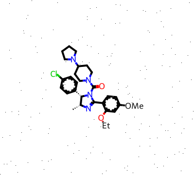 CCOc1cc(OC)ccc1C1=N[C@H](C)[C@H](c2ccc(Cl)cc2)N1C(=O)N1CCC(N2CCCC2)CC1